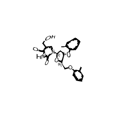 Cc1ccccc1OC[C@H]1O[C@@H](n2cc(CO)c(=O)[nH]c2=O)C[C@@H]1Oc1ccccc1C